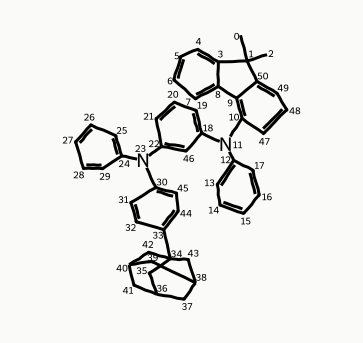 CC1(C)c2ccccc2-c2c(N(c3ccccc3)c3cccc(N(c4ccccc4)c4ccc(C56CC7CC(CC(C7)C5)C6)cc4)c3)cccc21